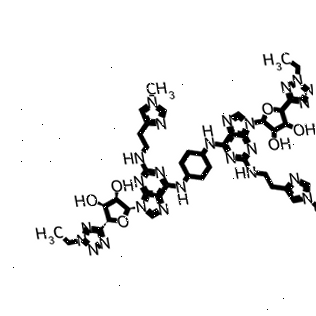 CCn1nnc(C2OC(n3cnc4c(NC5CCC(Nc6nc(NCCc7cn(C)cn7)nc7c6ncn7[C@@H]6O[C@H](c7nnn(CC)n7)[C@@H](O)[C@H]6O)CC5)nc(NCCc5cn(C)cn5)nc43)C(O)C2O)n1